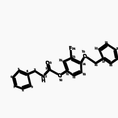 O=C(NCc1ccccc1)Oc1ccc(OCc2ccccc2)c(F)c1